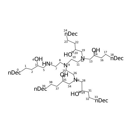 CCCCCCCCCCCCC(O)CNCCN(CCN(CC(O)CCCCCCCCCCCC)CC(O)CCCCCCCCCCCC)CCN(CC(O)CCCCCCCCCCCC)CC(O)CCCCCCCCCCCC